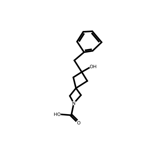 O=C(O)N1CC2(C1)CC(O)(Cc1ccccc1)C2